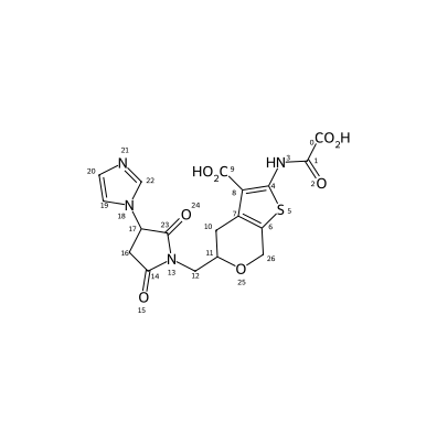 O=C(O)C(=O)Nc1sc2c(c1C(=O)O)CC(CN1C(=O)CC(n3ccnc3)C1=O)OC2